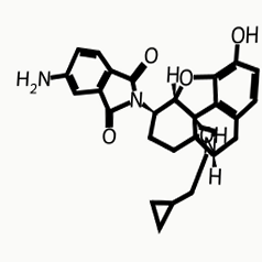 Nc1ccc2c(c1)C(=O)N([C@@H]1CC[C@@]3(O)[C@H]4Cc5ccc(O)c6c5[C@@]3(CCN4CC3CC3)[C@H]1O6)C2=O